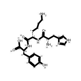 NCCCC[C@H](NC(=O)[C@@H](N)Cc1c[nH]cn1)C(=O)N[C@@H](Cc1ccc(O)cc1)C(=O)O